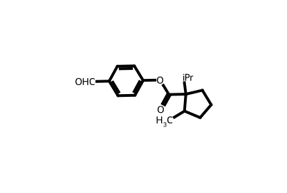 CC(C)C1(C(=O)Oc2ccc(C=O)cc2)CCCC1C